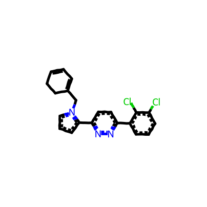 Clc1cccc(-c2ccc(-c3cccn3CC3=CC=CCC3)nn2)c1Cl